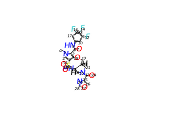 Cn1cc2c(c1C(=O)Nc1cc(F)c(F)c(F)c1)OC[C@@H]1CN(C(=O)c3cocn3)C[C@@H]1NS2(=O)=O